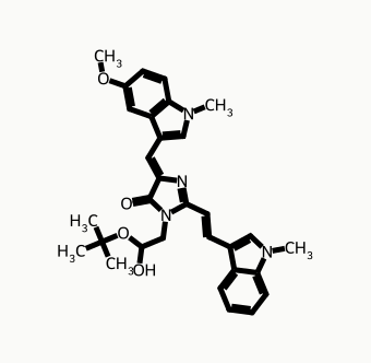 COc1ccc2c(c1)c(/C=C1N=C(/C=C/c3cn(C)c4ccccc34)N(CC(O)OC(C)(C)C)C\1=O)cn2C